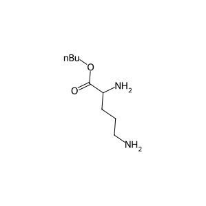 CCCCOC(=O)C(N)CCCN